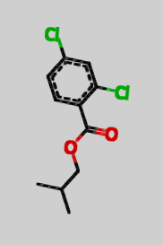 CC(C)COC(=O)c1ccc(Cl)cc1Cl